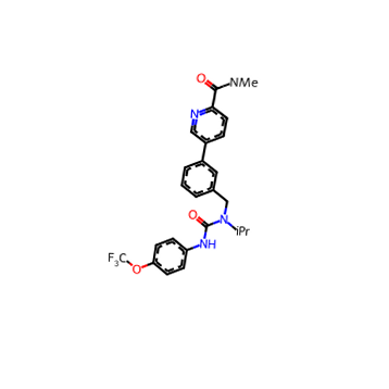 CNC(=O)c1ccc(-c2cccc(CN(C(=O)Nc3ccc(OC(F)(F)F)cc3)C(C)C)c2)cn1